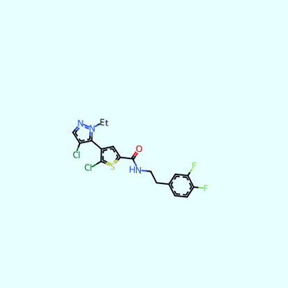 CCn1ncc(Cl)c1-c1cc(C(=O)NCCc2ccc(F)c(F)c2)sc1Cl